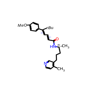 CCCC/C(=C\C=C\C(=O)N[C@H](C)CCCc1cnccc1C)c1ccc(OC)cc1